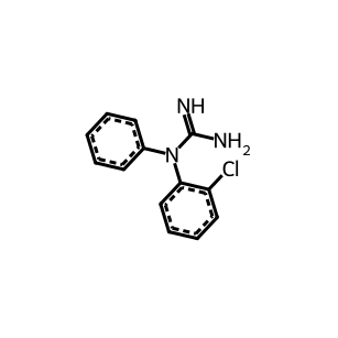 N=C(N)N(c1ccccc1)c1ccccc1Cl